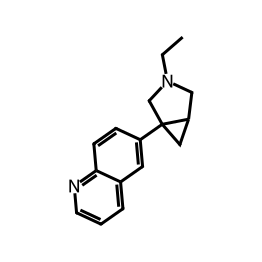 CCN1CC2CC2(c2ccc3ncccc3c2)C1